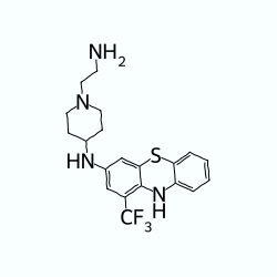 NCCN1CCC(Nc2cc3c(c(C(F)(F)F)c2)Nc2ccccc2S3)CC1